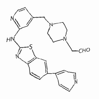 O=CCN1CCN(Cc2ccnc(Nc3nc4ccc(-c5ccncc5)cc4s3)c2)CC1